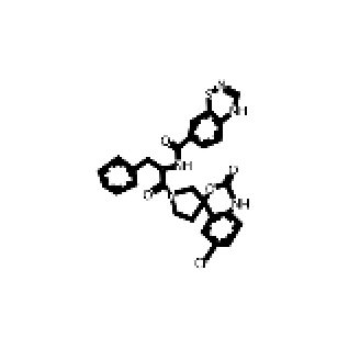 O=C1Nc2ccc(Cl)cc2C2(CCN(C(=O)C(Cc3ccccc3)NC(=O)c3ccc4c(c3)SN=CN4)C2)O1